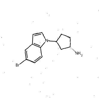 N[C@H]1CCC(n2ccc3cc(Br)ccc32)C1